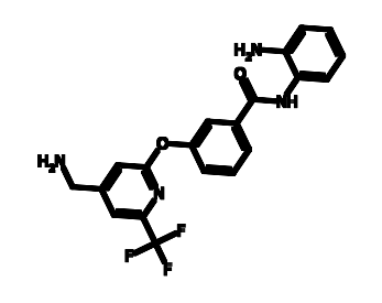 NCc1cc(Oc2cccc(C(=O)Nc3ccccc3N)c2)nc(C(F)(F)F)c1